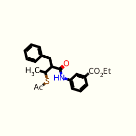 CCOC(=O)c1cccc(NC(=O)C(Cc2ccccc2)C(C)SC(C)=O)c1